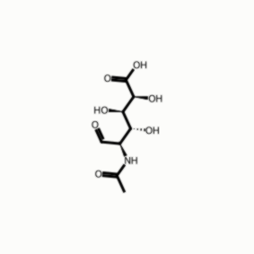 CC(=O)N[C@@H](C=O)[C@@H](O)[C@@H](O)[C@H](O)C(=O)O